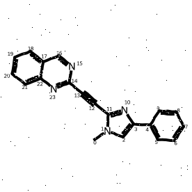 Cn1cc(-c2ccccc2)nc1C#Cc1ncc2ccccc2n1